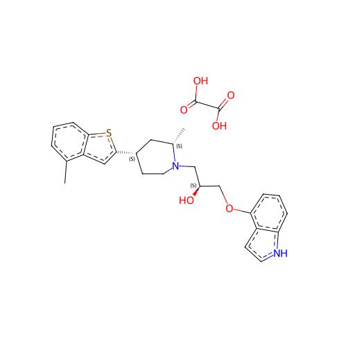 Cc1cccc2sc([C@H]3CCN(C[C@H](O)COc4cccc5[nH]ccc45)[C@@H](C)C3)cc12.O=C(O)C(=O)O